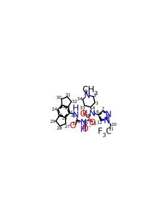 CN1CCC(N(c2cnn(CC(F)(F)F)c2)S(=O)(=O)[NH+]([O-])C(=O)Nc2c3c(cc4c2CCC4)CCC3)CC1